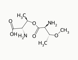 CO[C@H](C)[C@H](N)C(=O)O[C@H](C)[C@H](N)C(=O)O